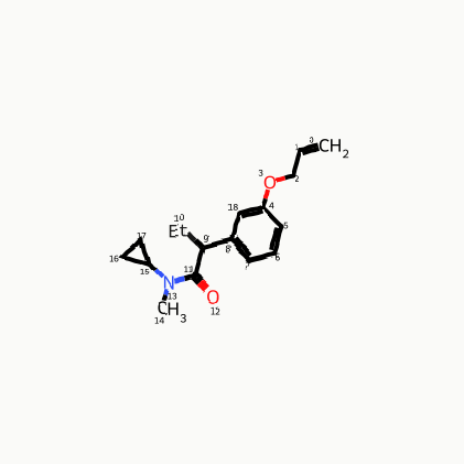 C=CCOc1cccc(C(CC)C(=O)N(C)C2CC2)c1